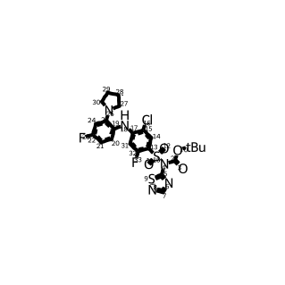 CC(C)(C)OC(=O)N(c1ncns1)S(=O)(=O)c1cc(Cl)c(Nc2ccc(F)cc2N2C[CH]CC2)cc1F